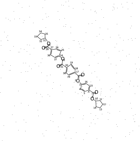 O=C(Oc1ccc(C(=O)OC2CCCC2)cc1)c1ccc(C(=O)Oc2ccc(C(=O)OC3CCCC3)cc2)cc1